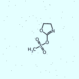 CS(=O)(=O)OC1=NCCO1